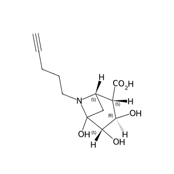 C#CCCCN1[C@H]2CC1(O)[C@@H](O)[C@H](O)[C@H]2C(=O)O